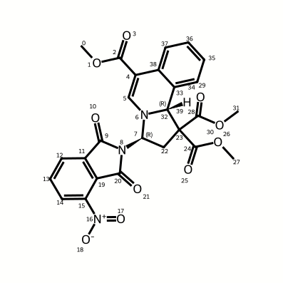 COC(=O)C1=CN2[C@H](N3C(=O)c4cccc([N+](=O)[O-])c4C3=O)CC(C(=O)OC)(C(=O)OC)[C@H]2c2ccccc21